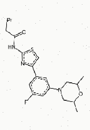 CC(C)CC(=O)Nc1nc(-c2cc(F)cc(N3CC(C)OC(C)C3)c2)cs1